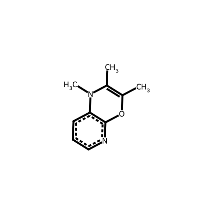 CC1=C(C)N(C)c2cccnc2O1